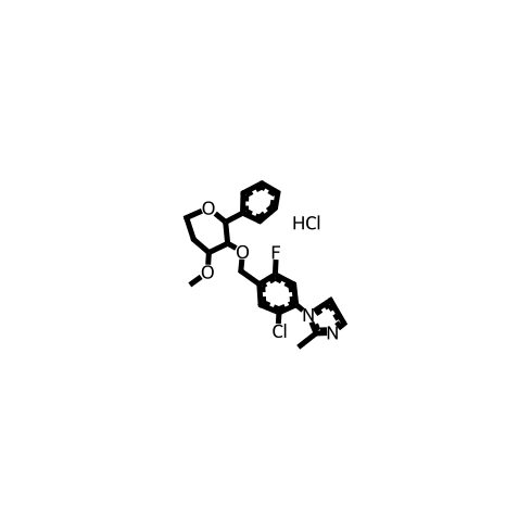 COC1CCOC(c2ccccc2)C1OCc1cc(Cl)c(-n2ccnc2C)cc1F.Cl